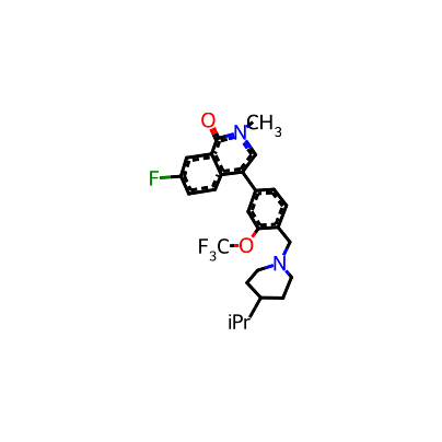 CC(C)C1CCN(Cc2ccc(-c3cn(C)c(=O)c4cc(F)ccc34)cc2OC(F)(F)F)CC1